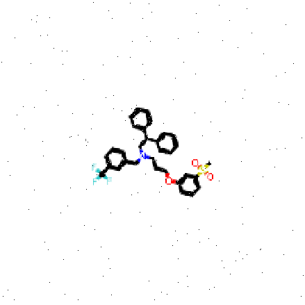 CS(=O)(=O)c1cccc(OCCCN(Cc2cccc(C(F)(F)F)c2)CC(c2ccccc2)c2ccccc2)c1